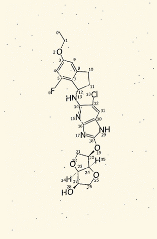 CCOc1cc(F)c2c(c1)CCC2Nc1nc2nc(O[C@@H]3CO[C@H]4[C@@H]3OC[C@H]4O)[nH]c2cc1Cl